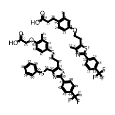 Cc1cc(OCCc2sc(-c3ccc(C(F)(F)F)cc3)nc2C)ccc1CCC(=O)O.Cc1cc(SCCc2sc(-c3ccc(C(F)(F)F)cc3)nc2CSc2ccccc2)ccc1OCC(=O)O